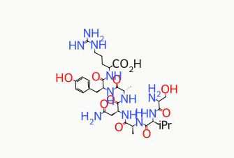 CC(C)[C@H](NC(=O)[C@@H](N)CO)C(=O)N[C@@H](C)C(=O)N[C@@H](CC(N)=O)C(=O)N[C@@H](C)C(=O)N[C@@H](Cc1ccc(O)cc1)C(=O)N[C@@H](CCCNC(=N)N)C(=O)O